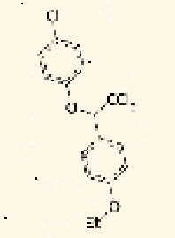 CCOc1ccc(C(Oc2ccc(Cl)cc2)C(Cl)(Cl)Cl)cc1